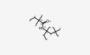 CCC(C)(CC(C)(C)C)NC(=O)C(C)(C)CC